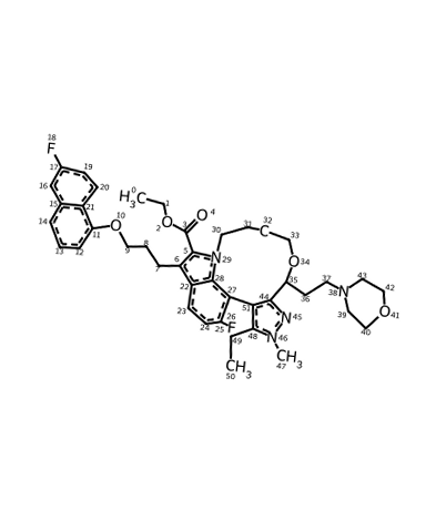 CCOC(=O)c1c(CCCOc2cccc3cc(F)ccc23)c2ccc(F)c3c2n1CCCCOC(CCN1CCOCC1)c1nn(C)c(CC)c1-3